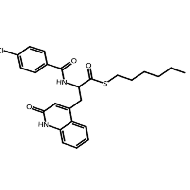 CCCCCCSC(=O)C(Cc1cc(=O)[nH]c2ccccc12)NC(=O)c1ccc(Cl)cc1